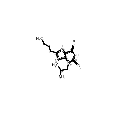 CCCCc1nc2c([nH]1)c(=S)[nH]c(=O)n2CC(C)C